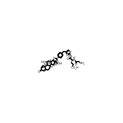 C[C@]12C=CC(=O)C=C1CC[C@@H]1[C@@H]2[C@@H](O)C[C@@]2(C)[C@H]1C[C@H]1O[C@@H](c3ccc(Cc4cnc(NC(=O)[C@H](CCC(=O)O)NC(=O)CN)s4)cc3)O[C@]12C(=O)CO